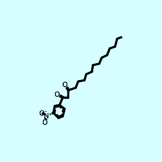 CCCCCCCCCCCCCC(=O)CC(=O)c1cccc([N+](=O)[O-])c1